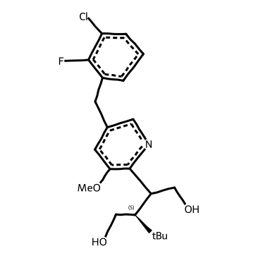 COc1cc(Cc2cccc(Cl)c2F)cnc1C(CO)[C@H](CO)C(C)(C)C